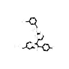 OCc1ccn2c(-c3ccnc(NCc4cccc(Cl)c4)n3)c(-c3ccc(F)cc3)nc2c1